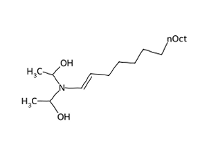 CCCCCCCCCCCCCC=CN(C(C)O)C(C)O